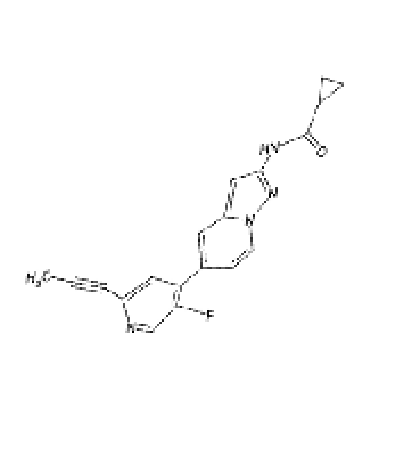 CC#Cc1cc(-c2ccn3nc(NC(=O)C4CC4)cc3c2)c(F)cn1